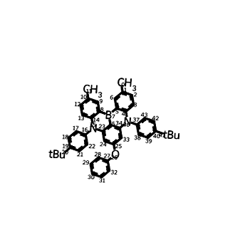 Cc1ccc2c(c1)B1c3cc(C)ccc3N(c3ccc(C(C)(C)C)cc3)c3cc(Oc4ccccc4)cc(c31)N2c1ccc(C(C)(C)C)cc1